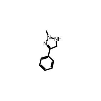 CN1N=C(c2ccccc2)CN1